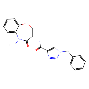 CN1C(=O)[C@@H](NC(=O)c2cn(Cc3ccccc3)nn2)COc2ccccc21